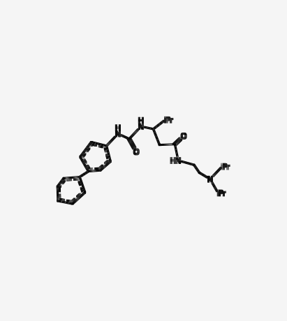 CC(C)C(CC(=O)NCCN(C(C)C)C(C)C)NC(=O)Nc1ccc(-c2ccccc2)cc1